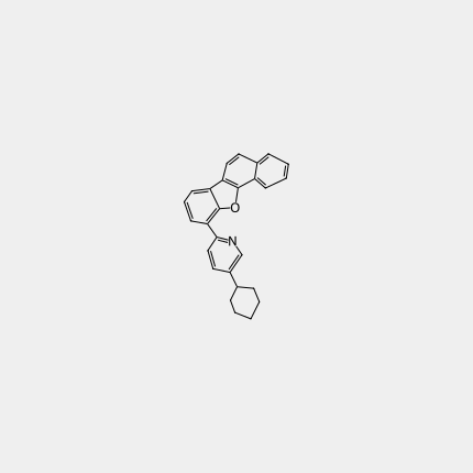 c1ccc2c(c1)ccc1c3cccc(-c4ccc(C5CCCCC5)cn4)c3oc21